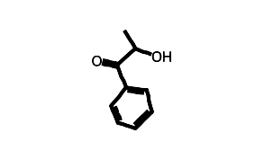 CC(O)C(=O)c1ccccc1